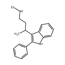 CCNCCC(C)c1c(-c2ccccc2)[nH]c2ccccc12